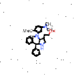 CCN(c1cc(N(C)C)ccc1OC)C1C(CCO)CNC1C(c1ccccc1)c1ccccc1